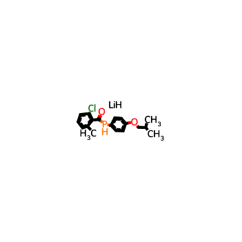 Cc1cccc(Cl)c1C(=O)Pc1ccc(OCC(C)C)cc1.[LiH]